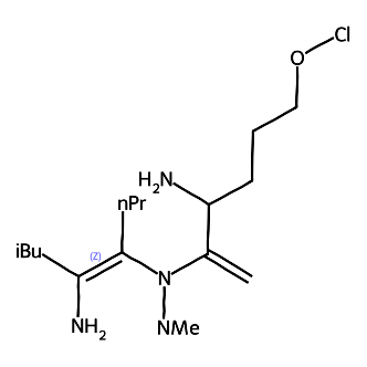 C=C(C(N)CCCOCl)N(NC)/C(CCC)=C(\N)C(C)CC